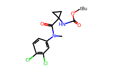 CN(C(=O)C1(NC(=O)OC(C)(C)C)CC1)c1ccc(Cl)c(Cl)c1